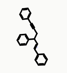 C(#Cc1ccccc1)[CH]C(/C=C/c1ccccc1)c1ccccc1